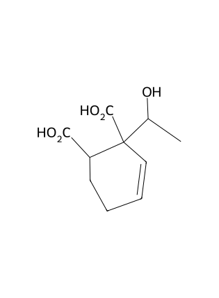 CC(O)C1(C(=O)O)C=CCCC1C(=O)O